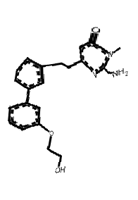 Cn1c(N)nc(CCc2cccc(-c3cccc(OCCO)c3)c2)cc1=O